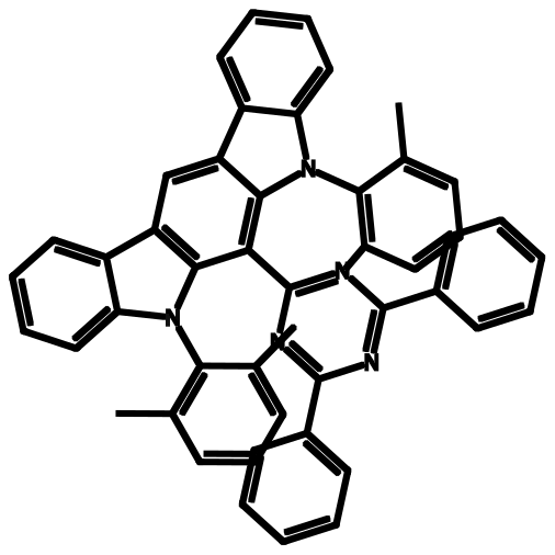 Cc1cccc(C)c1-n1c2ccccc2c2cc3c4ccccc4n(-c4c(C)cccc4C)c3c(-c3nc(-c4ccccc4)nc(-c4ccccc4)n3)c21